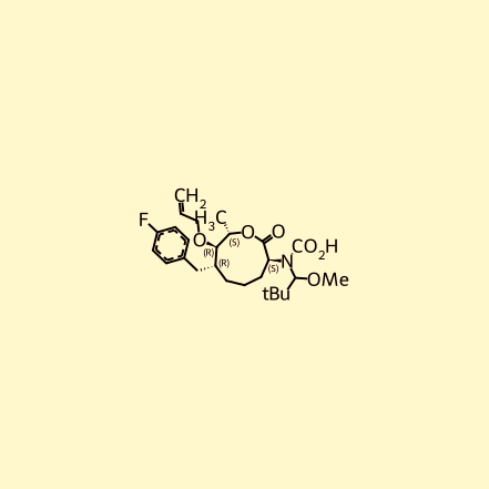 C=CCO[C@@H]1[C@@H](Cc2ccc(F)cc2)CCC[C@H](N(C(=O)O)C(OC)C(C)(C)C)C(=O)O[C@H]1C